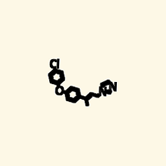 CC(=CCn1ccnc1)c1ccc(Oc2ccc(Cl)cc2)cc1